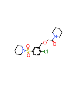 O=C(COCc1cc(S(=O)(=O)N2CCCCC2)ccc1Cl)N1CCCCC1